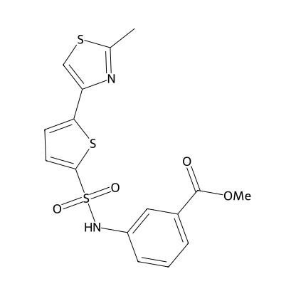 COC(=O)c1cccc(NS(=O)(=O)c2ccc(-c3csc(C)n3)s2)c1